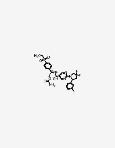 CCS(=O)(=O)c1ccc([C@H](COC(N)=O)NC(O)c2cnc(N3CC(F)(F)CC3c3cccc(F)c3)nc2)cc1